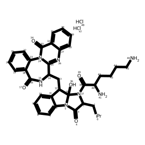 CC(C)CC1C(=O)N2c3ccccc3C(CC3NC(=O)c4ccccc4-n4c3nc3ccccc3c4=O)C2(O)N1C(=O)C(N)CCCCN.Cl.Cl